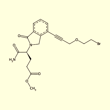 COC(=O)CC[C@@H](C(N)=O)N1Cc2c(C#CCOCCBr)cccc2C1=O